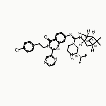 C[C@H]1[C@@H](NC(=Nc2ccc3c(=O)n(CCc4ccc(Cl)cc4)c(-c4cnccn4)nc3c2)N2CCN[C@@H](C(F)F)C2)C[C@@H]2C[C@@H]1C2(C)C